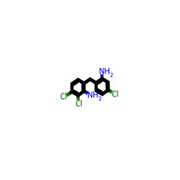 Nc1cc(Cl)ccc1Cc1ccc(Cl)c(Cl)c1N